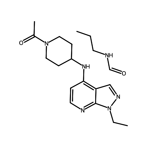 CCCNC=O.CCn1ncc2c(NC3CCN(C(C)=O)CC3)ccnc21